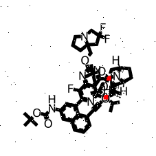 CC(C)[Si](C#Cc1cccc2cc(NC(=O)OC(C)(C)C)cc(-c3nc4c5c(nc(OCC67CCCN6CC(F)(F)C7)nc5c3F)N3C[C@H]5CC[C@@H]([C@H]3[C@H](C)O4)N5C(=O)OC(C)(C)C)c12)(C(C)C)C(C)C